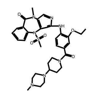 CCOc1cc(C(=O)N2CCC(N3CCN(C)CC3)CC2)ccc1Nc1cc2c(cn1)N(C)C(=O)c1ccccc1N2S(C)(=O)=O